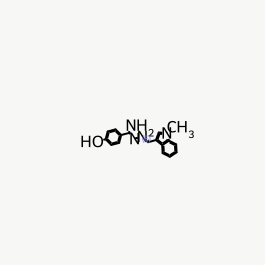 Cn1cc(/C=N/N=C(N)c2ccc(O)cc2)c2ccccc21